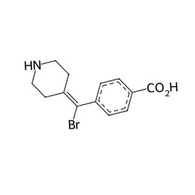 O=C(O)c1ccc(C(Br)=C2CCNCC2)cc1